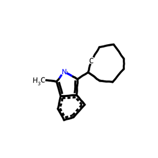 CC1=c2ccccc2=C(C2CCCCCCC2)[N]1